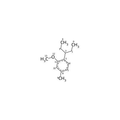 CCC(CC)c1ccc(C)cc1OC